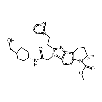 COC(=O)N1c2ccc3c(nc(CCn4cccn4)n3CC(=O)N[C@H]3CC[C@H](CO)CC3)c2CC[C@@H]1C